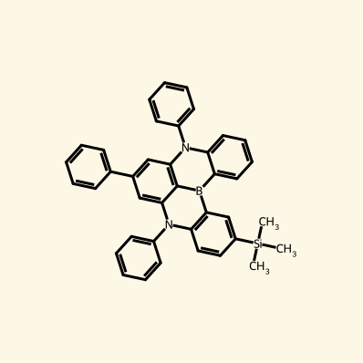 C[Si](C)(C)c1ccc2c(c1)B1c3ccccc3N(c3ccccc3)c3cc(-c4ccccc4)cc(c31)N2c1ccccc1